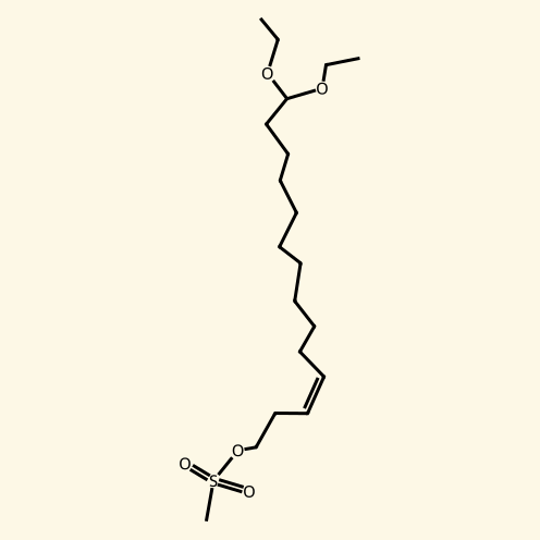 CCOC(CCCCCCCCC/C=C\CCOS(C)(=O)=O)OCC